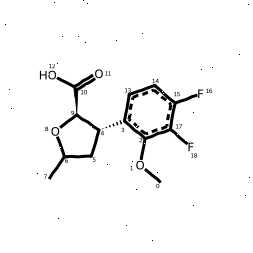 COc1c([C@@H]2CC(C)O[C@H]2C(=O)O)ccc(F)c1F